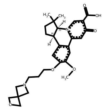 COc1cc2c(cc1OCCCN1CC3(COC3)C1)[C@H]1CCC(C)(C)[C@H]1n1cc(C(=O)O)c(=O)cc1-2